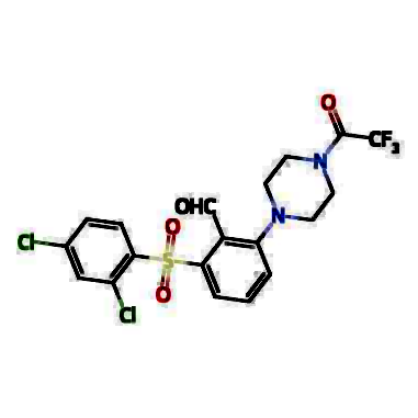 O=Cc1c(N2CCN(C(=O)C(F)(F)F)CC2)cccc1S(=O)(=O)c1ccc(Cl)cc1Cl